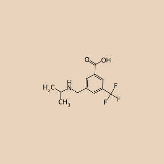 CC(C)NCc1cc(C(=O)O)cc(C(F)(F)F)c1